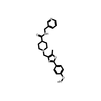 CCCOc1ccc(-c2nc(CN3CCC(C(=O)NCc4cccnc4)CC3)c(C)o2)cc1